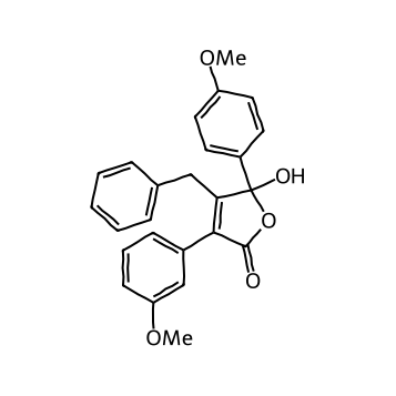 COc1ccc(C2(O)OC(=O)C(c3cccc(OC)c3)=C2Cc2ccccc2)cc1